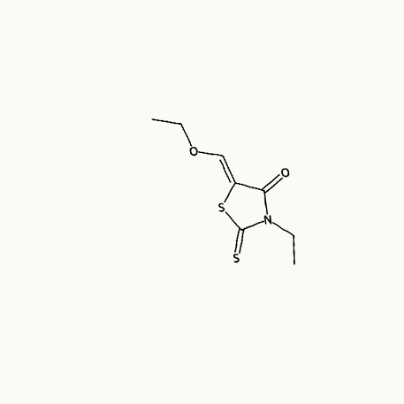 CCOC=C1SC(=S)N(CC)C1=O